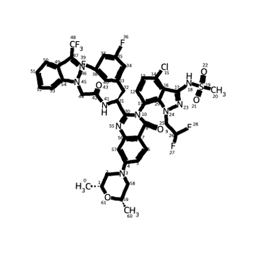 C[C@@H]1CN(c2ccc3c(=O)n(-c4ccc(Cl)c5c(NS(C)(=O)=O)nn(CC(F)F)c45)c([C@H](Cc4cc(F)cc(F)c4)NC(=O)Cn4nc(C(F)(F)F)c5ccccc54)nc3c2)C[C@H](C)O1